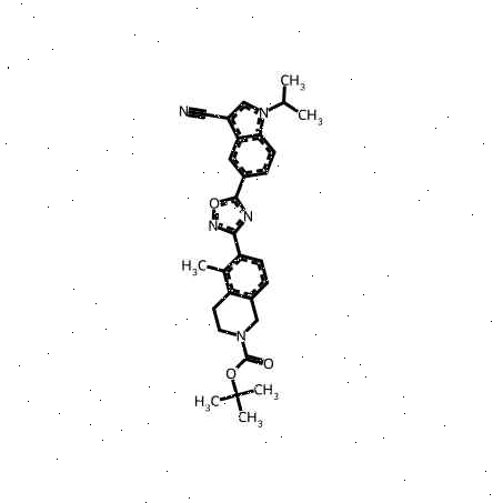 Cc1c(-c2noc(-c3ccc4c(c3)c(C#N)cn4C(C)C)n2)ccc2c1CCN(C(=O)OC(C)(C)C)C2